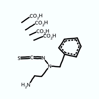 CC(=O)O.CC(=O)O.CC(=O)O.CC(=O)O.NCCN(Cc1ccccc1)N=C=S